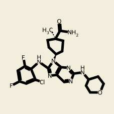 C[C@]1(C(N)=O)CC[C@@H](n2c(Nc3c(F)cc(F)cc3Cl)nc3cnc(NC4CCOCC4)nc32)CC1